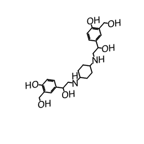 OCc1cc(C(O)CNC2CCC(NCC(O)c3ccc(O)c(CO)c3)CC2)ccc1O